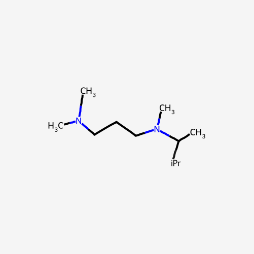 CC(C)C(C)N(C)CCCN(C)C